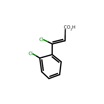 O=C(O)C=C(Cl)c1ccccc1Cl